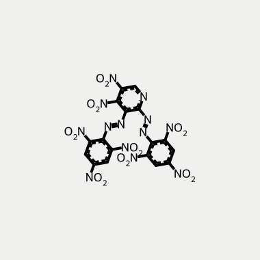 O=[N+]([O-])c1cc([N+](=O)[O-])c(/N=N/c2ncc([N+](=O)[O-])c([N+](=O)[O-])c2/N=N/c2c([N+](=O)[O-])cc([N+](=O)[O-])cc2[N+](=O)[O-])c([N+](=O)[O-])c1